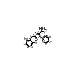 CC(N)c1nc(Cc2c(F)cccc2F)nn1-c1ncccn1